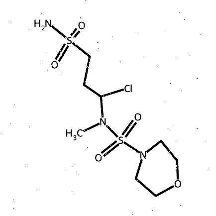 CN(C(Cl)CCS(N)(=O)=O)S(=O)(=O)N1CCOCC1